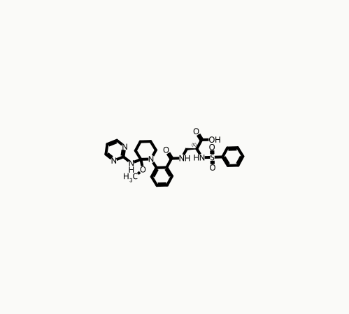 COC1(Nc2ncccn2)CCCCN1c1ccccc1C(=O)NC[C@H](NS(=O)(=O)c1ccccc1)C(=O)O